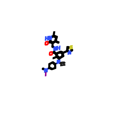 CCN(c1cc(-c2cscn2)cc(C(=O)NCc2c(C)cc(C)[nH]c2=O)c1C)[C@H]1CC[C@H](N(C)I)CC1